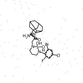 NC(=O)C12CC3CC(C1)C(NC(=O)CN1CCCN(c4c(F)cc(Cl)cc4Br)S1(O)O)C(C3)C2